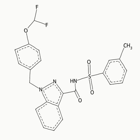 Cc1cccc(S(=O)(=O)NC(=O)c2nn(Cc3ccc(OC(F)F)cc3)c3ccccc23)c1